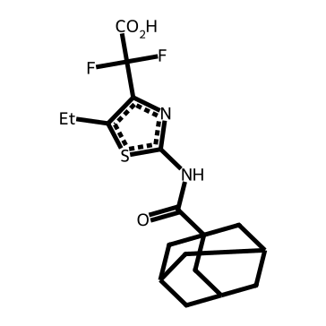 CCc1sc(NC(=O)C23CC4CC(CC(C4)C2)C3)nc1C(F)(F)C(=O)O